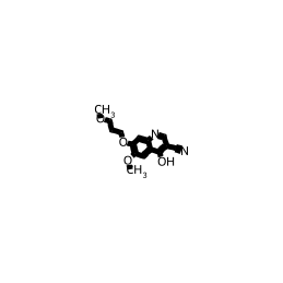 COCCCOc1cc2ncc(C#N)c(O)c2cc1OC